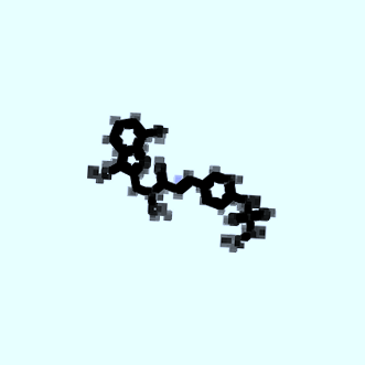 CNS(=O)(=O)Nc1ccc(/C=C/C(=O)N(C)Cc2oc3c(Br)cccc3c2C)cn1